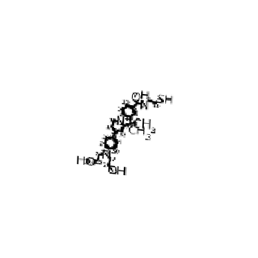 CC1(C)c2cc(C(=O)NCCS)ccc2-[n+]2ccc(-c3ccc(N(CCO)CCO)cc3)cc21